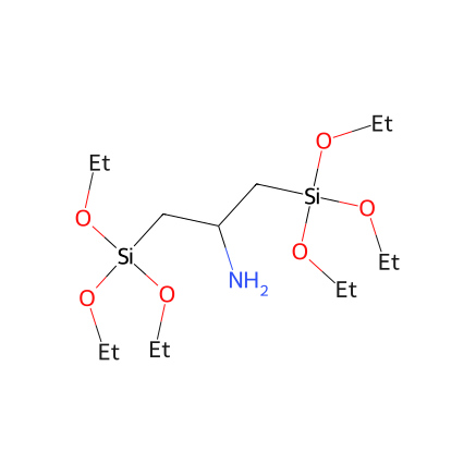 CCO[Si](CC(N)C[Si](OCC)(OCC)OCC)(OCC)OCC